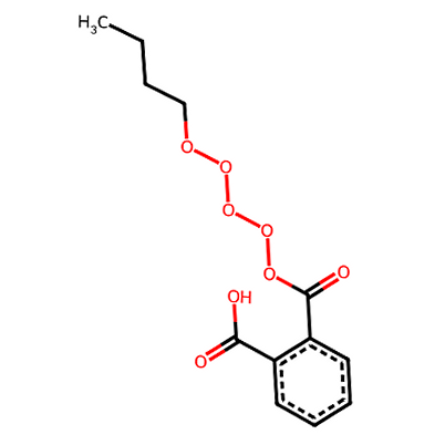 CCCCOOOOOC(=O)c1ccccc1C(=O)O